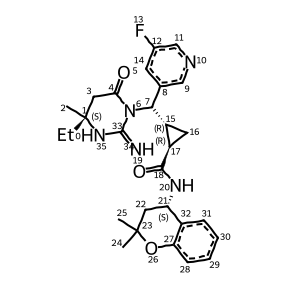 CC[C@@]1(C)CC(=O)N(C(c2cncc(F)c2)[C@@H]2C[C@H]2C(=O)N[C@H]2CC(C)(C)Oc3ccccc32)C(=N)N1